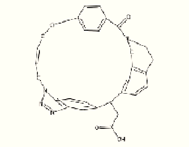 O=C(O)CC1c2ccc3c(c2)CN(CC3)C(=O)c2ccc(cc2)OCC=CCn2nnc3cc1ccc32